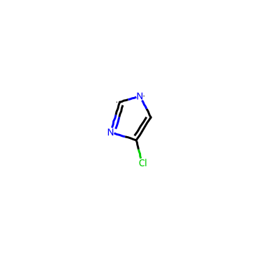 ClC1=C[N][C]=N1